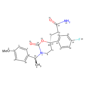 COc1ccc([C@H](C)N2CC[C@](CCC(N)=O)(c3ccc(F)cc3)OC2=O)cc1